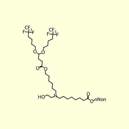 CCCCCCCCCOC(=O)CCCCCCCN(CCO)CCCCCCOC(=O)CCC(OCCCCC(F)(F)C(F)(F)F)OCCCCC(F)(F)C(F)(F)F